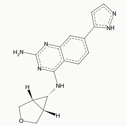 Nc1nc(N[C@@H]2[C@@H]3COC[C@@H]32)c2ccc(-c3ccn[nH]3)cc2n1